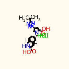 CC(C)c1nnn([C@H]2C[C@@H](C(=O)O)N(C[C@H]3CC[C@H]4CN[C@H](C(=O)O)C[C@H]4C3)C2)n1.Cl.Cl